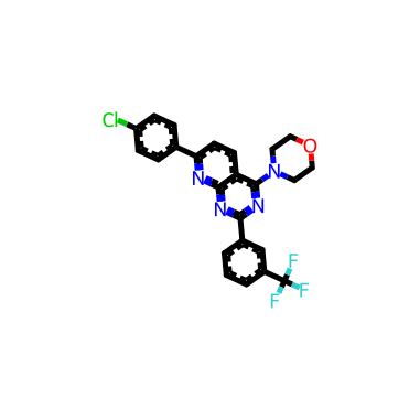 FC(F)(F)c1cccc(-c2nc(N3CCOCC3)c3ccc(-c4ccc(Cl)cc4)nc3n2)c1